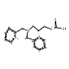 O=C(O)NCCCN(Cc1ccccn1)Cc1ccccn1